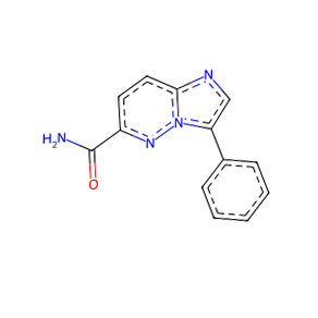 NC(=O)c1ccc2ncc(-c3ccccc3)n2n1